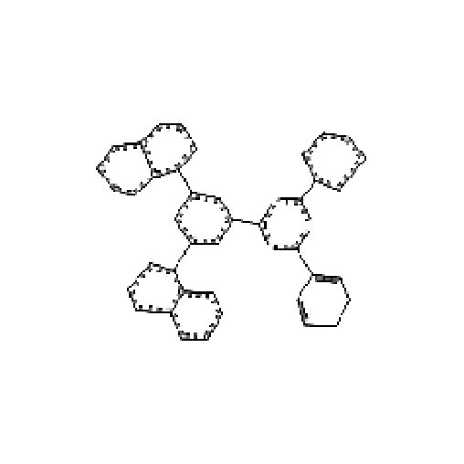 C1=CC(c2nc(-c3ccccc3)nc(-c3cc(-c4cccc5ccccc45)cc(-c4cccc5ccccc45)c3)n2)=CCC1